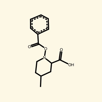 CC1CCN(OC(=O)c2ccccc2)C(C(=O)O)C1